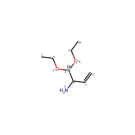 C=CC(N)[SiH](OCC)OCC